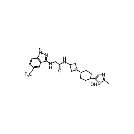 Cc1ncc([C@]2(O)CC[C@H](N3CC(NC(=O)CNc4nn(C)c5ccc(C(F)(F)F)cc45)C3)CC2)s1